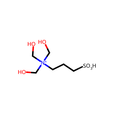 O=S(=O)(O)CCC[N+](CO)(CO)CO